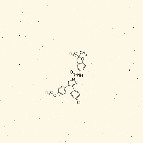 COc1ccc(C2CN(C(=O)Nc3ccc4c(c3)CC(C)(C)O4)N=C2c2ccc(Cl)cc2)cc1